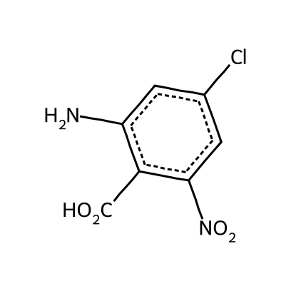 Nc1cc(Cl)cc([N+](=O)[O-])c1C(=O)O